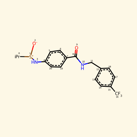 CC(C)[S+]([O-])Nc1ccc(C(=O)NCc2ccc(C(F)(F)F)cc2)cc1